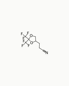 N#CCCC1COC(C(F)(F)F)(C(F)(F)F)O1